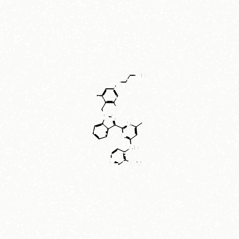 COc1cnccc1Nc1cc(C)nc(-c2nn(Cc3c(F)cc(OCCO)cc3F)c3ccccc23)n1